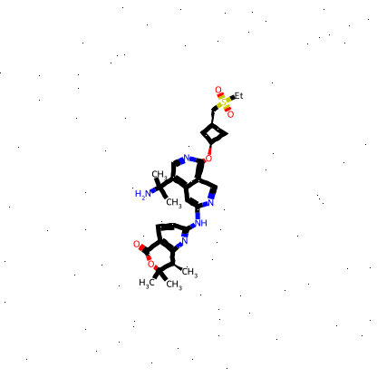 CCS(=O)(=O)C[C@H]1C[C@@H](Oc2ncc(C(C)(C)N)c3cc(Nc4ccc5c(n4)[C@@H](C)C(C)(C)OC5=O)ncc23)C1